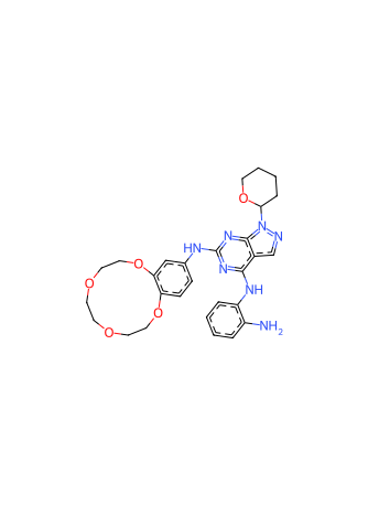 Nc1ccccc1Nc1nc(Nc2ccc3c(c2)OCCOCCOCCO3)nc2c1cnn2C1CCCCO1